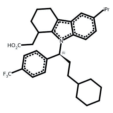 CC(C)c1ccc2c(c1)c1c(n2[C@@H](CCC2CCCCC2)c2ccc(C(F)(F)F)cc2)C(CC(=O)O)CCC1